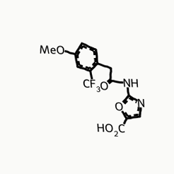 COc1ccc(CC(=O)Nc2ncc(C(=O)O)o2)c(C(F)(F)F)c1